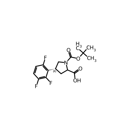 CC(C)(C)OC(=O)N1C[C@@H](c2c(F)ccc(F)c2F)CC1C(=O)O